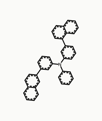 c1ccc(N(c2cccc(-c3ccc4ccccc4c3)c2)c2cccc(-c3cccc4ccccc34)c2)cc1